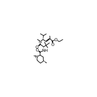 CCOC(=O)/C(C)=C/[C@H](C(C)C)N(C)C(=O)[C@@H](NC(=O)C1C[C@@H](C)CCN1C)C(C)(C)C